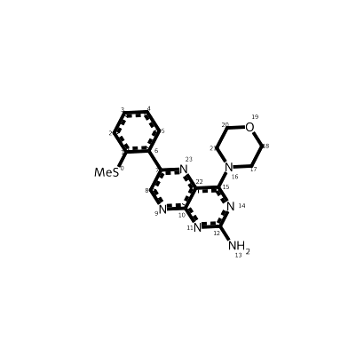 CSc1ccccc1-c1cnc2nc(N)nc(N3CCOCC3)c2n1